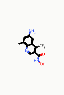 Cc1cc(N)cc2c(C(F)(F)F)c(C(=O)NO)cnc12